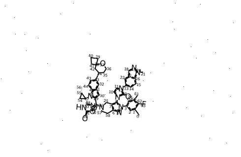 Cc1cc(-n2nc3c(c2-n2ccn(-c4ccc5c(cnn5C)c4)c2=O)CN(C(=O)c2cc4cc(C5CCOC6(CCC6)C5)ccc4n2[C@@]2(c4noc(=O)[nH]4)C[C@@H]2C)CC3)cc(C)c1F